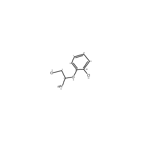 CCCC(CCl)Oc1ccccc1Cl